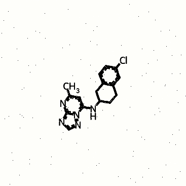 Cc1cc(NC2CCc3cc(Cl)ccc3C2)n2ncnc2n1